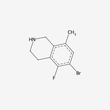 Cc1cc(Br)c(F)c2c1CNCC2